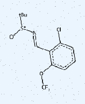 CC(C)(C)[S+]([O-])N=Cc1c(Cl)cccc1OC(F)(F)F